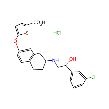 Cl.O=C(O)c1ccc(Oc2ccc3c(c2)C[C@@H](NC[C@H](O)c2cccc(Cl)c2)CC3)s1